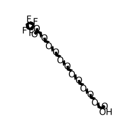 O=C(O)CCOCCOCCOCCOCCOCCOCCOCCOCCOCCOCCC(=O)Oc1c(F)c(F)cc(F)c1F